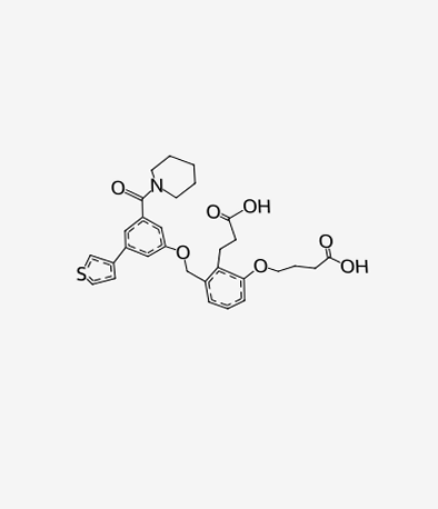 O=C(O)CCCOc1cccc(COc2cc(C(=O)N3CCCCC3)cc(-c3ccsc3)c2)c1CCC(=O)O